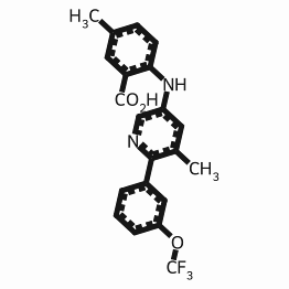 Cc1ccc(Nc2cnc(-c3cccc(OC(F)(F)F)c3)c(C)c2)c(C(=O)O)c1